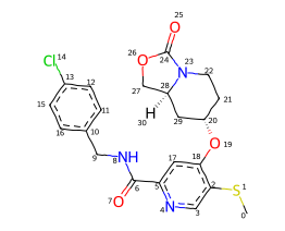 CSc1cnc(C(=O)NCc2ccc(Cl)cc2)cc1O[C@H]1CCN2C(=O)OC[C@@H]2C1